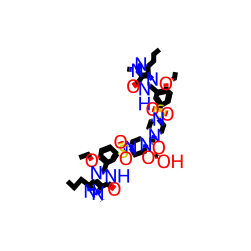 CCCc1nn(C)c2c(=O)[nH]c(-c3cc(S(=O)(=O)N4CCN(C(OC(=O)O)N5CCN(S(=O)(=O)c6ccc(OCC)c(-c7nc8c(CCC)nn(C)c8c(=O)[nH]7)c6)CC5)CC4)ccc3OCC)nc12